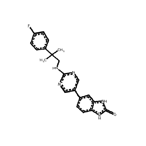 CC(C)(CNc1ncc(-c2ccc3[nH]c(=O)[nH]c3c2)cn1)c1ccc(F)cc1